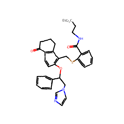 CCOC(=O)CCNC(=O)c1ccccc1SCc1c(OC(Cn2ccnc2)c2ccccc2)ccc2c1CCCC2=O